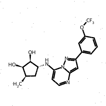 [CH2][C@@H]1C[C@@H](Nc2ccnc3cc(-c4cccc(OC(F)(F)F)c4)nn23)[C@H](O)[C@@H]1O